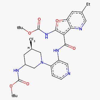 CCc1cnc2c(C(=O)Nc3cnccc3N3CC(NC(=O)OC(C)(C)C)C[C@@H](C(F)(F)F)C3)c(NC(=O)OC(C)(C)C)oc2c1